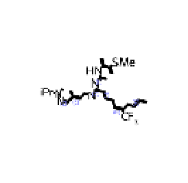 C=C(N/C(C)=N/C(/C=C/C/C=C(\C/C=C/C)C(F)(F)F)=N\C/C=C(C)/C=N\N(C)C(C)C)C(=C)SC